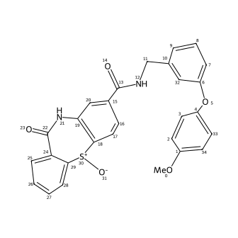 COc1ccc(Oc2cccc(CNC(=O)c3ccc4c(c3)NC(=O)c3ccccc3[S+]4[O-])c2)cc1